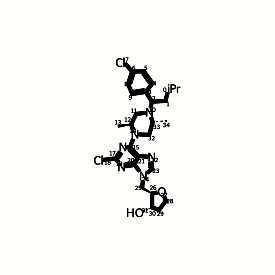 CC(C)CC(c1ccc(Cl)cc1)N1C[C@H](C)N(c2nc(Cl)nc3c2ncn3C[C@H]2OCC[C@@H]2O)C[C@H]1C